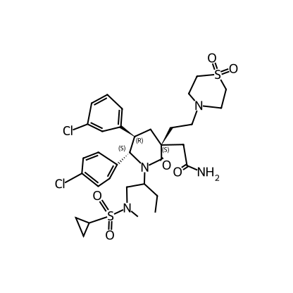 CCC(CN(C)S(=O)(=O)C1CC1)N1C(=O)[C@@](CCN2CCS(=O)(=O)CC2)(CC(N)=O)C[C@H](c2cccc(Cl)c2)[C@H]1c1ccc(Cl)cc1